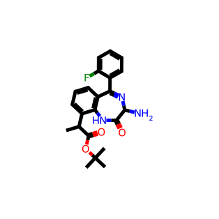 CC(C(=O)OC(C)(C)C)c1cccc2c1NC(=O)C(N)N=C2c1ccccc1F